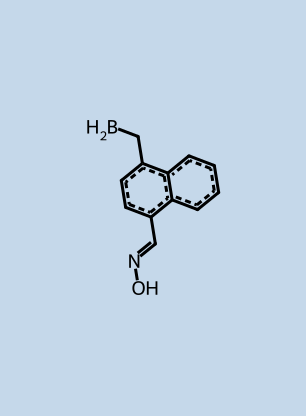 BCc1ccc(/C=N/O)c2ccccc12